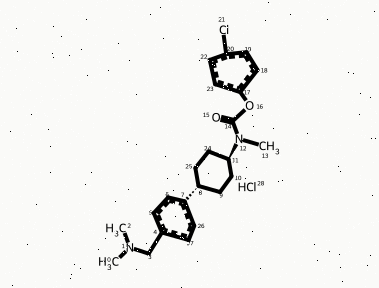 CN(C)Cc1ccc([C@H]2CC[C@H](N(C)C(=O)Oc3ccc(Cl)cc3)CC2)cc1.Cl